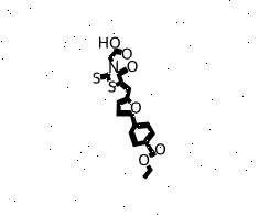 CCOC(=O)c1ccc(-c2ccc(/C=C3\SC(=S)N(CC(=O)O)C3=O)o2)cc1